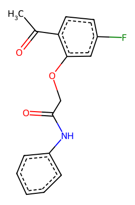 CC(=O)c1ccc(F)cc1OCC(=O)Nc1ccccc1